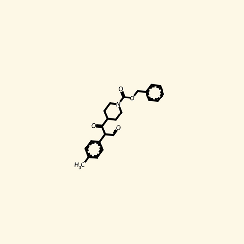 Cc1ccc(C(C=O)C(=O)C2CCN(C(=O)OCc3ccccc3)CC2)cc1